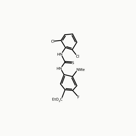 CCOC(=O)c1cc(NC(=S)Nc2c(Cl)cccc2Cl)c(NC)cc1F